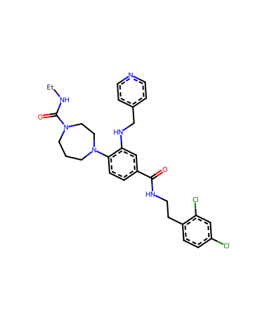 CCNC(=O)N1CCCN(c2ccc(C(=O)NCCc3ccc(Cl)cc3Cl)cc2NCc2ccncc2)CC1